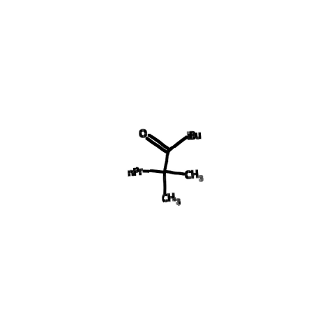 CCCC(C)(C)C(=O)C(C)CC